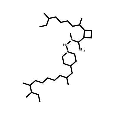 CCC(C)CCCCC(C)C1CCC1C(N)N(C)NN1CCC(CC(C)CCCCCC(C)C(C)CC)CC1